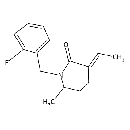 C/C=C1\CCC(C)N(Cc2ccccc2F)C1=O